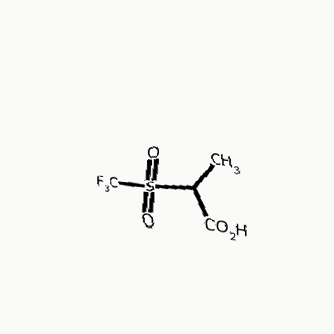 CC(C(=O)O)S(=O)(=O)C(F)(F)F